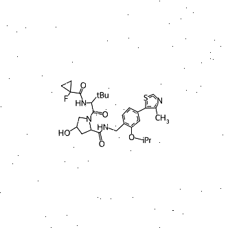 Cc1ncsc1-c1ccc(CNC(=O)C2CC(O)CN2C(=O)C(NC(=O)C2(F)CC2)C(C)(C)C)c(OC(C)C)c1